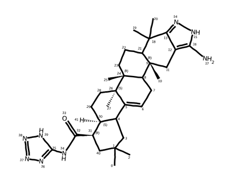 CC1(C)CC2C3=CCC4[C@@]5(C)Cc6c(n[nH]c6N)C(C)(C)C5CC[C@@]4(C)[C@]3(C)CC[C@@H]2[C@H](C(=O)Nc2nnn[nH]2)C1